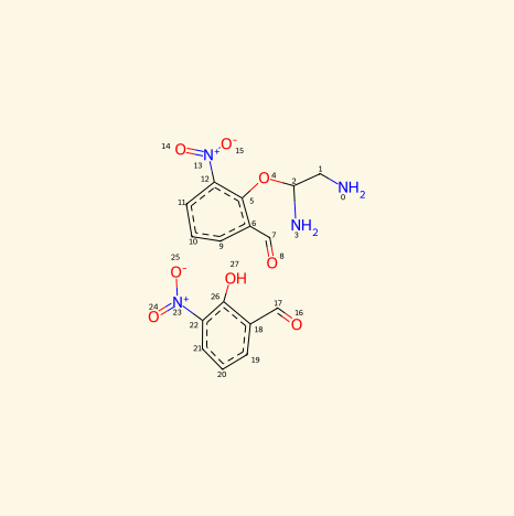 NCC(N)Oc1c(C=O)cccc1[N+](=O)[O-].O=Cc1cccc([N+](=O)[O-])c1O